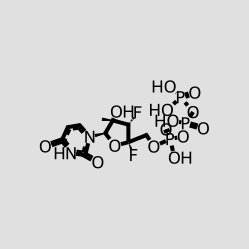 C[C@]1(O)[C@H](n2ccc(=O)[nH]c2=O)O[C@](F)(COP(=O)(O)OP(=O)(O)OP(=O)(O)O)[C@H]1F